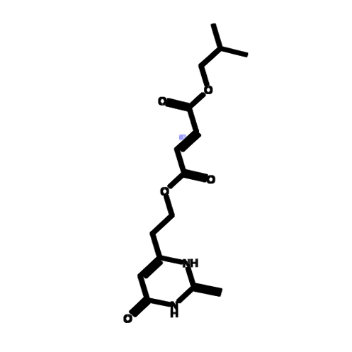 C=C1NC(=O)C=C(CCOC(=O)/C=C/C(=O)OCC(C)C)N1